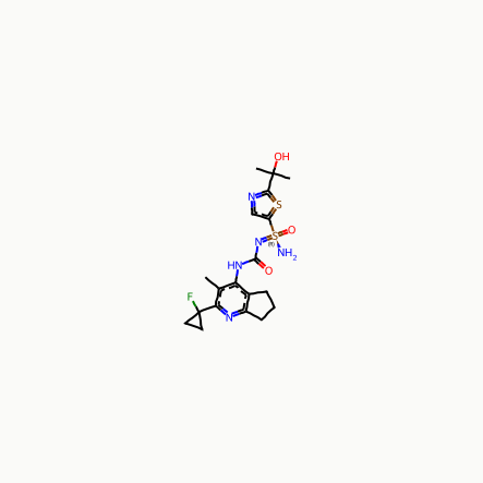 Cc1c(C2(F)CC2)nc2c(c1NC(=O)N=[S@@](N)(=O)c1cnc(C(C)(C)O)s1)CCC2